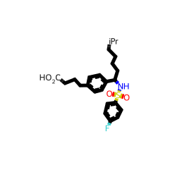 CC(C)CCCCC(NS(=O)(=O)c1ccc(F)cc1)c1ccc(CCCC(=O)O)cc1